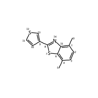 Cc1ccc(C)c2sc(-c3ccsc3)nc12